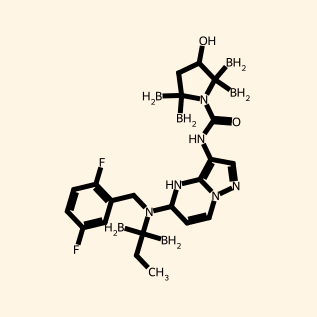 BC(B)(CC)N(Cc1cc(F)ccc1F)C1C=Cn2ncc(NC(=O)N3C(B)(B)CC(O)C3(B)B)c2N1